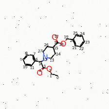 CCOC(=O)C(c1ccccc1)N1CCC(C(=O)OCc2ccccc2)CC1